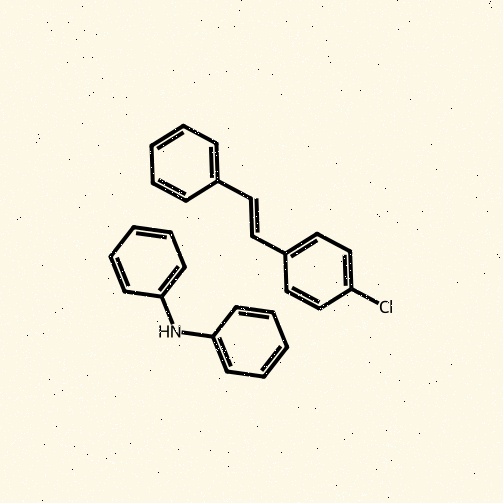 Clc1ccc(C=Cc2ccccc2)cc1.c1ccc(Nc2ccccc2)cc1